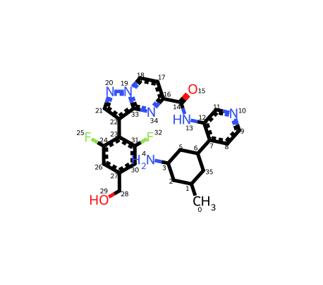 CC1CC(N)CC(c2ccncc2NC(=O)c2ccn3ncc(-c4c(F)cc(CO)cc4F)c3n2)C1